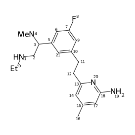 CCNCC(NC)c1cc(F)cc(CCc2cc(C)cc(N)n2)c1